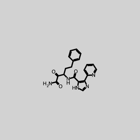 NC(=O)C(=O)C(CCc1ccccc1)NC(=O)c1[nH]cnc1-c1ccccn1